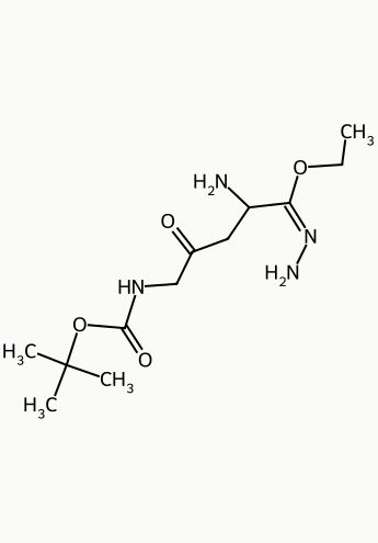 CCOC(=NN)C(N)CC(=O)CNC(=O)OC(C)(C)C